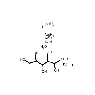 Cl.Cl.Cl.O.O=CC(O)C(O)C(O)C(O)CO.[CaH2].[MgH2].[NaH].[NaH]